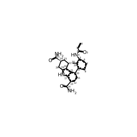 C=CC(=O)Nc1cccc(-c2ccc(C(N)=O)c3[nH]c4c(c23)CC[C@H](C(N)=O)C4)c1C